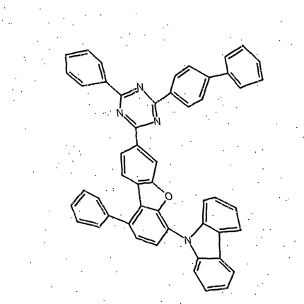 c1ccc(-c2ccc(-c3nc(-c4ccccc4)nc(-c4ccc5c(c4)oc4c(-n6c7ccccc7c7ccccc76)ccc(-c6ccccc6)c45)n3)cc2)cc1